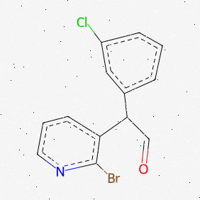 O=CC(c1cccc(Cl)c1)c1cccnc1Br